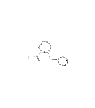 O=C(O)c1ccccc1Nc1ccsc1